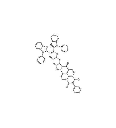 O=C1c2ccc3c(=O)n4c5cc6nc(-c7nc8ccccc8n7-c7ccccc7)c(-c7nc8ccccc8n7-c7ccccc7)nc6cc5nc4c4ccc(c2c34)C(=O)N1c1ccccc1